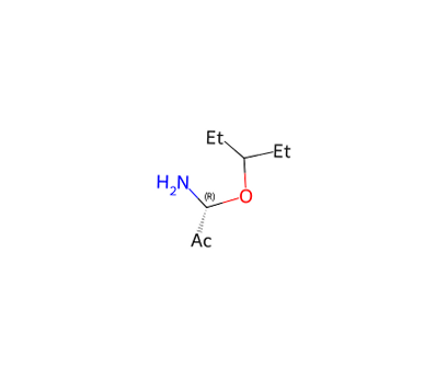 CCC(CC)O[C@@H](N)C(C)=O